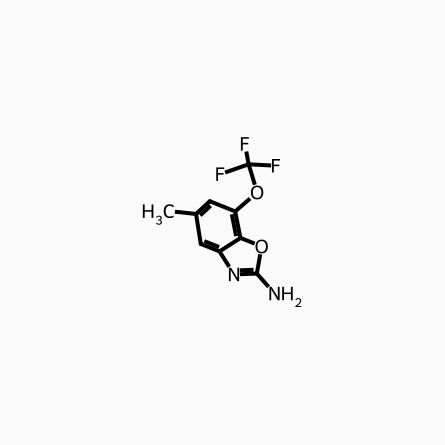 Cc1cc(OC(F)(F)F)c2oc(N)nc2c1